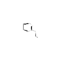 OCCc1ccc(O)cn1